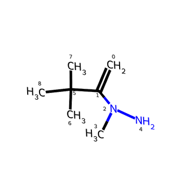 C=C(N(C)N)C(C)(C)C